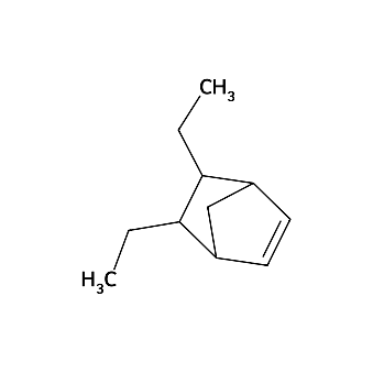 CCC1C2C=CC(C2)C1CC